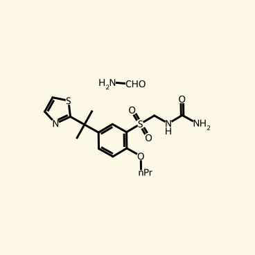 CCCOc1ccc(C(C)(C)c2nccs2)cc1S(=O)(=O)CNC(N)=O.NC=O